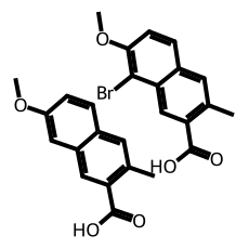 COc1ccc2cc(C)c(C(=O)O)cc2c1.COc1ccc2cc(C)c(C(=O)O)cc2c1Br